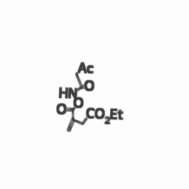 C=C(CC(=O)OCC)C(=O)ONC(=O)CC(C)=O